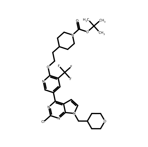 CC(C)(C)OC(=O)N1CCC(CCOc2ncc(-c3nc(Cl)nc4c3ccn4CC3CCOCC3)cc2C(F)(F)F)CC1